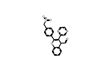 O=CC1C(c2cnccn2)=C(c2ccc(C[SH](=O)=O)cc2)Oc2ccccc21